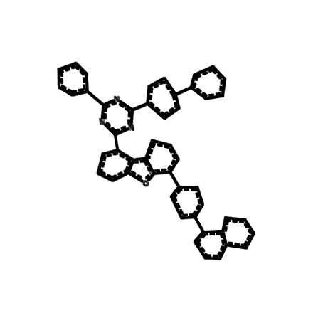 c1ccc(-c2ccc(-c3nc(-c4ccccc4)nc(-c4cccc5oc6c(-c7ccc(-c8cccc9ccccc89)cc7)cccc6c45)n3)cc2)cc1